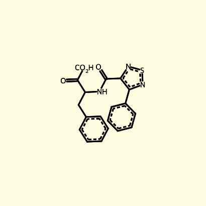 O=C(O)C(=O)C(Cc1ccccc1)NC(=O)c1nsnc1-c1ccccc1